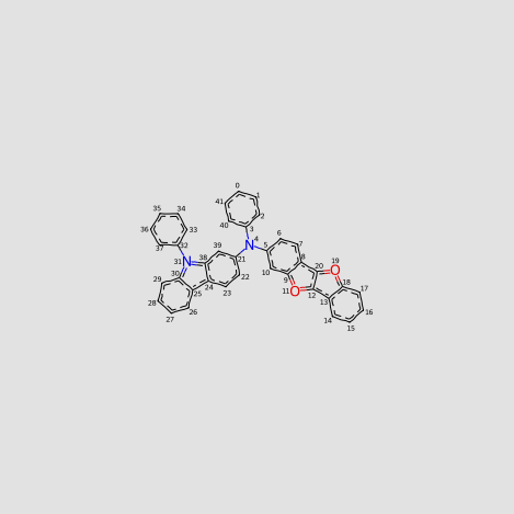 c1ccc(N(c2ccc3c(c2)oc2c4ccccc4oc32)c2ccc3c4ccccc4n(-c4ccccc4)c3c2)cc1